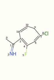 CC(=N)C1=C(F)C=C(Cl)CC=C1